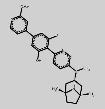 COc1cc(-c2cc(O)c(-c3ccc(N(C)[C@H]4C[C@]5(C)CC[C@](C)(C4)N5)nn3)c(F)c2)ccn1